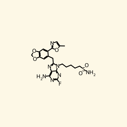 Cc1cnc(-c2cc3c(cc2Cc2nc4c(N)nc(F)nc4n2CCCCCS(N)(=O)=O)OCO3)o1